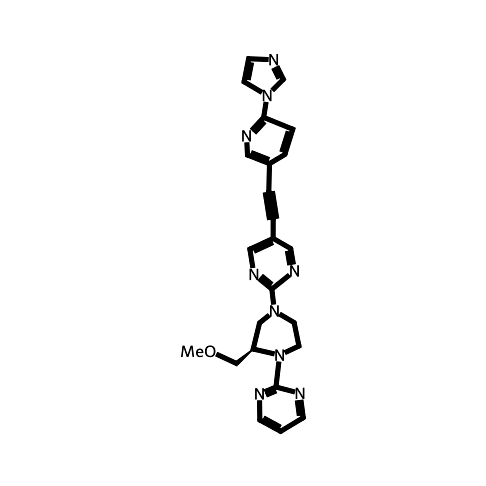 COC[C@H]1CN(c2ncc(C#Cc3ccc(-n4ccnc4)nc3)cn2)CCN1c1ncccn1